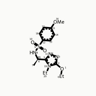 CCOc1nnc([C@@H](C)NS(=O)(=O)c2ccc(OC)cc2)n1CC